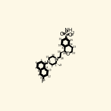 C[C@@H]1CN(c2cccc3cc(F)ccc23)CCN1CC[C@@H]1OCCc2cc(S(N)(=O)=O)ccc21